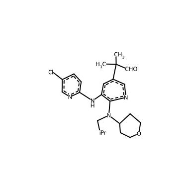 CC(C)CN(c1ncc(C(C)(C)C=O)cc1Nc1ccc(Cl)cn1)C1CCOCC1